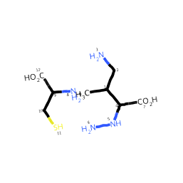 CC(CN)C(NN)C(=O)O.NC(CS)C(=O)O